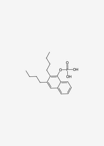 CCCCc1cc2ccccc2c(OP(=O)(O)O)c1CCCC